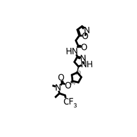 CC(CC(F)(F)F)N(C)C(=O)O[C@@H]1CC[C@H](C2CC(NC(=O)Cc3ccno3)=NN2)C1